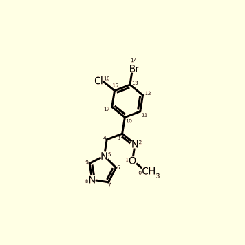 CON=C(Cn1ccnc1)c1ccc(Br)c(Cl)c1